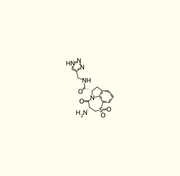 N[C@H]1CS(=O)(=O)c2cccc3c2N(C1=O)[C@H](C(=O)NCc1c[nH]nn1)C3